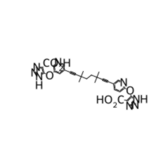 CC(C)(C#Cc1ccc(Oc2[nH]nnc2C(=O)O)nc1)CCC(C)(C)C#Cc1cncc(Oc2[nH]nnc2C(=O)O)c1